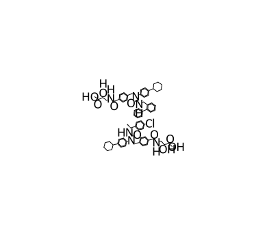 C[C@H](NC(=O)N(Cc1ccc(C(=O)NC[C@@H](O)C(=O)O)cc1)c1ccc(C2CCCCC2)cc1)c1ccc(Cl)cc1.O=C(NCC(O)C(=O)O)c1ccc(CN(C(=O)NCc2ccccc2-c2ccccc2)c2ccc(C3CCCCC3)cc2)cc1